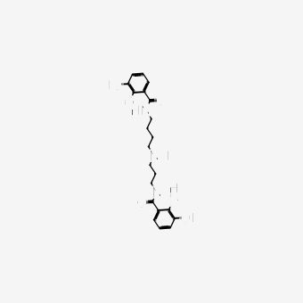 O=C(NCCCCNCCCNC(=O)c1cccc(O)c1O)c1cccc(O)c1O